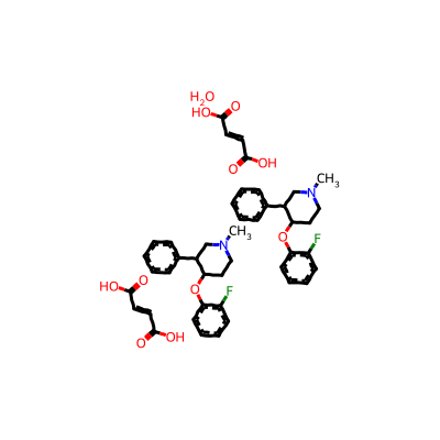 CN1CCC(Oc2ccccc2F)C(c2ccccc2)C1.CN1CCC(Oc2ccccc2F)C(c2ccccc2)C1.O.O=C(O)C=CC(=O)O.O=C(O)C=CC(=O)O